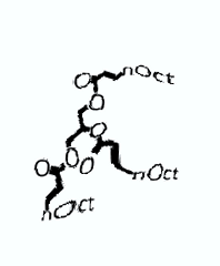 CCCCCCCCC=CC(=O)OCC(COC(=O)C=CCCCCCCCC)OC(=O)C=CCCCCCCCC